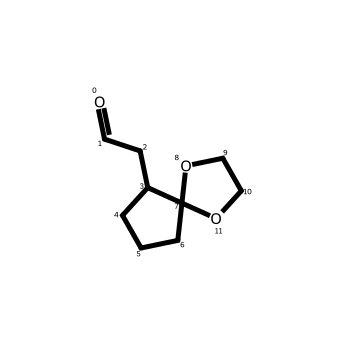 O=CCC1CCCC12OCCO2